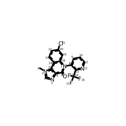 Cn1cnc2c(=O)n(-c3cccnc3C(F)(F)F)c3cc(Cl)ccc3c21